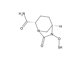 NC(=O)[C@@H]1CC[C@@H]2CN1C(=O)N2OS